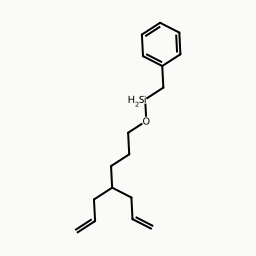 C=CCC(CC=C)CCCO[SiH2]Cc1ccccc1